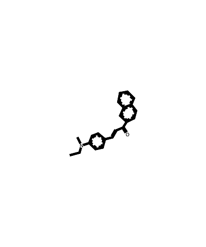 CCN(C)c1ccc(C=CC(=O)c2ccc3ccccc3c2)cc1